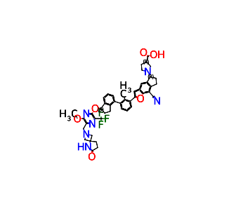 COc1nc(O[C@H]2CCc3c(-c4cccc(-c5cc6cc7c(c(C#N)c6o5)CC[C@H]7N5CC[C@@H](C(=O)O)C5)c4C)cccc32)c(C(F)(F)F)nc1CN1CC2(CCC(=O)N2)C1